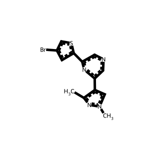 Cc1nn(C)cc1-c1cncc(-c2cc(Br)cs2)n1